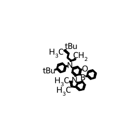 C=CC(C/C=C(\C)C(C)(C)C)N(c1ccc(C(C)(C)C)cc1)c1cc2c3c(c1)-n1c(C)c(C)c4cccc(c41)B3c1ccccc1O2